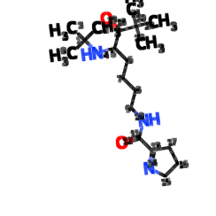 CC(C)(C)NC(CCCCNC(=O)C1=NCCC1)C(=O)C(C)(C)C